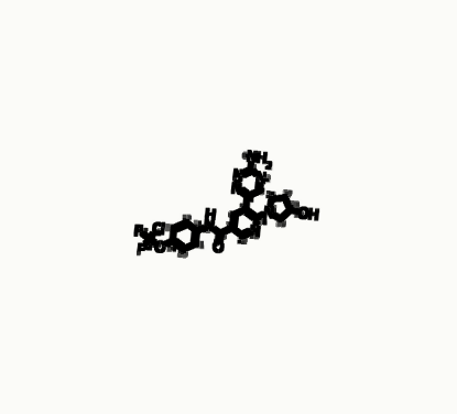 Nc1ncc(-c2cc(C(=O)Nc3ccc(OC(F)(F)Cl)cc3)cnc2N2CCC(O)C2)nn1